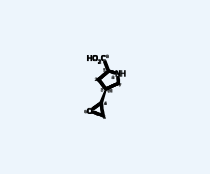 O=C(O)C1C[C@H](C2CO2)CN1